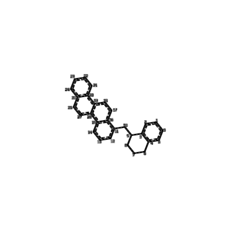 c1ccc2c(c1)CCCC2Cc1cccc2c1ccc1c3ccccc3ccc21